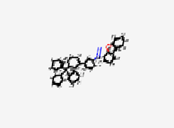 c1ccc(C2(c3ccccc3)c3ccccc3-c3c(-c4cccc(Nc5cccc6c5oc5ccccc56)c4)cccc32)cc1